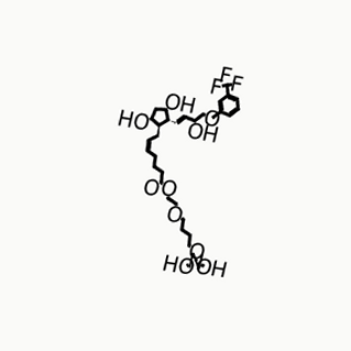 O=C(CCC/C=C\C[C@@H]1[C@@H](/C=C/[C@@H](O)COc2cccc(C(F)(F)F)c2)[C@H](O)C[C@@H]1O)OCCOCCCCON(O)O